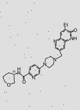 CCc1cc2ncc(CN3CCN(c4ccc(C(=O)N[C@@H]5CCCOC5)nc4)CC3)cc2[nH]c1=O